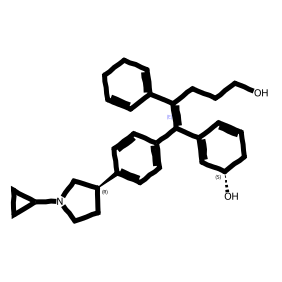 OCCC/C(C1=CCCC=C1)=C(\C1=C[C@@H](O)CC=C1)c1ccc([C@H]2CCN(C3CC3)C2)cc1